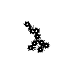 c1ccc(-c2nc3c(ccc4c(-c5ccc(N(c6ccc7c(c6)sc6ccccc67)c6ccc7c8ccccc8n(-c8ccccc8)c7c6)cc5)cccc43)o2)cc1